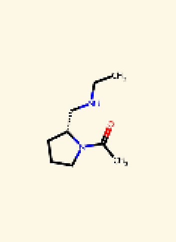 CCNC[C@H]1CCCN1C(C)=O